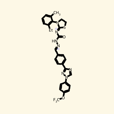 CCc1cccc(C)c1N1CCS/C1=N\C(=O)N/N=C/c1ccc(-c2ncn(-c3ccc(OC(F)(F)F)cc3)n2)cc1